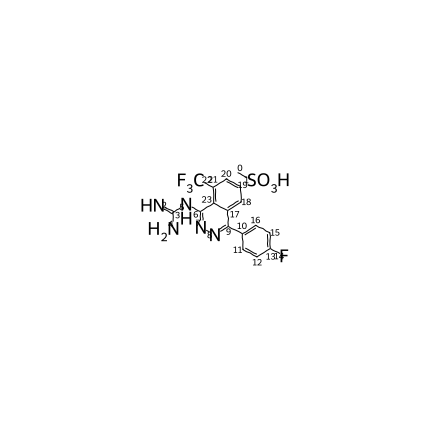 CS(=O)(=O)O.N=C(N)Nc1nnc(-c2ccc(F)cc2)c2cccc(C(F)(F)F)c12